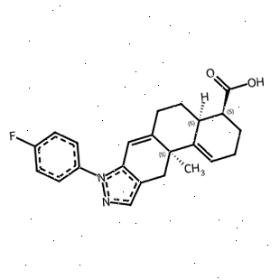 C[C@]12Cc3cnn(-c4ccc(F)cc4)c3C=C1CC[C@@H]1C2=CCC[C@@H]1C(=O)O